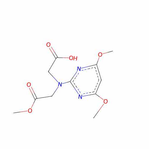 COC(=O)CN(CC(=O)O)c1nc(OC)cc(OC)n1